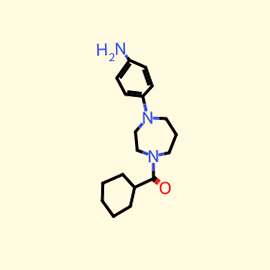 Nc1ccc(N2CCCN(C(=O)C3CCCCC3)CC2)cc1